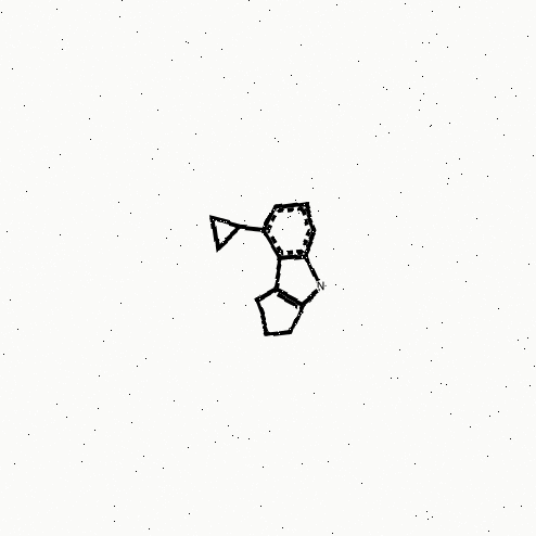 c1cc2c(c(C3CC3)c1)C1=C(CCC1)[N]2